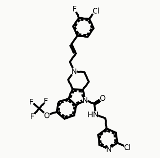 O=C(NCc1ccnc(Cl)c1)n1c2c(c3cc(OC(F)(F)F)ccc31)CN(CC=Cc1ccc(Cl)c(F)c1)CC2